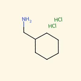 Cl.Cl.NCC1CCCCC1